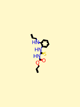 C=CCNc1ccccc1NC(=S)NC(=O)OCC=C